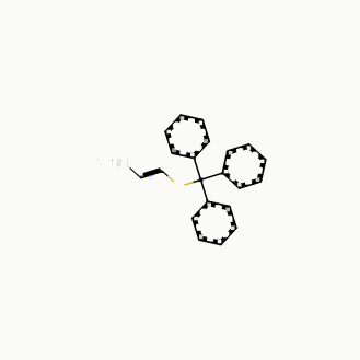 CC(=O)N/C=C/SC(c1ccccc1)(c1ccccc1)c1ccccc1